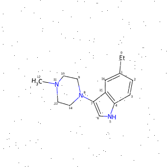 CCc1ccc2[nH]cc(N3CCN(C)CC3)c2c1